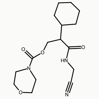 N#CCNC(=O)C(COC(=O)N1CCOCC1)C1CCCCC1